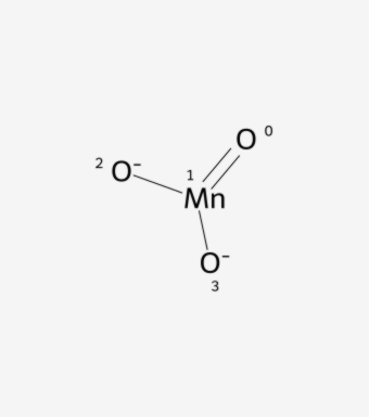 [O]=[Mn]([O-])[O-]